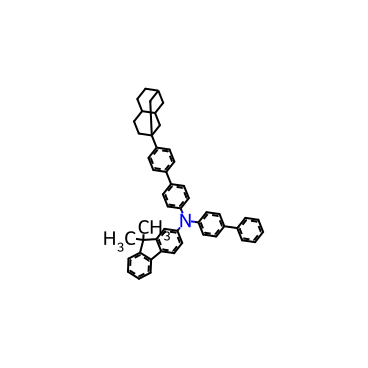 CC1(C)c2ccccc2-c2ccc(N(c3ccc(-c4ccccc4)cc3)c3ccc(-c4ccc(C56CCC7CCC(CC7C5)C6)cc4)cc3)cc21